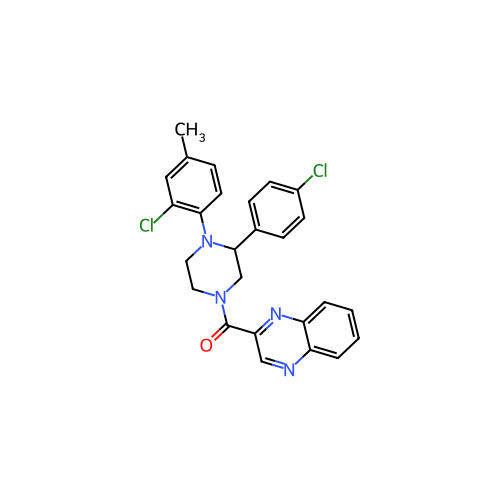 Cc1ccc(N2CCN(C(=O)c3cnc4ccccc4n3)CC2c2ccc(Cl)cc2)c(Cl)c1